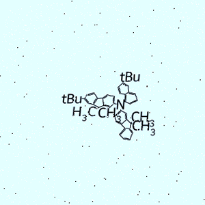 CC(C)(C)c1ccc2c(c1)C(C)(C)c1cc(N(c3ccc4c(c3)C(C)(C)c3ccccc3-4)c3cccc4cc(C(C)(C)C)ccc34)ccc1-2